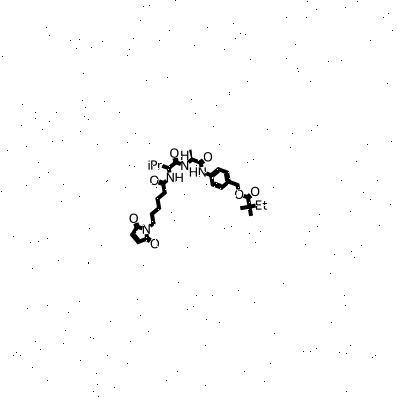 CCC(C)(C)C(=O)OCc1ccc(NC(=O)[C@H](C)NC(=O)C(NC(=O)CCCCCN2C(=O)C=CC2=O)C(C)C)cc1